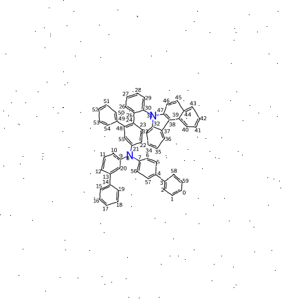 c1ccc(-c2ccc(N(c3cccc(-c4ccccc4)c3)c3ccc(-c4ccccc4-n4c5ccccc5c5c6ccccc6ccc54)c(-c4ccccc4)c3)cc2)cc1